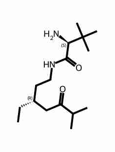 CC[C@H](CCNC(=O)[C@@H](N)C(C)(C)C)CC(=O)C(C)C